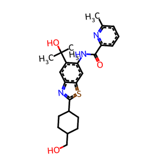 Cc1cccc(C(=O)Nc2cc3sc(C4CCC(CO)CC4)nc3cc2C(C)(C)O)n1